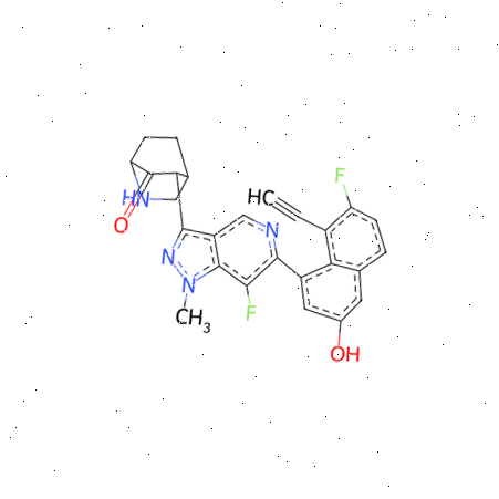 C#Cc1c(F)ccc2cc(O)cc(-c3ncc4c(C5C(=O)C6CCC5CN6)nn(C)c4c3F)c12